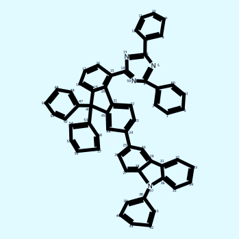 c1ccc(-c2nc(-c3ccccc3)nc(-c3cccc4c3-c3ccc(-c5ccc6c(c5)c5ccccc5n6-c5ccccc5)cc3C4(c3ccccc3)c3ccccc3)n2)cc1